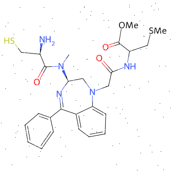 COC(=O)C(CSC)NC(=O)CN1C[C@H](N(C)C(=O)[C@H](N)CS)N=C(c2ccccc2)c2ccccc21